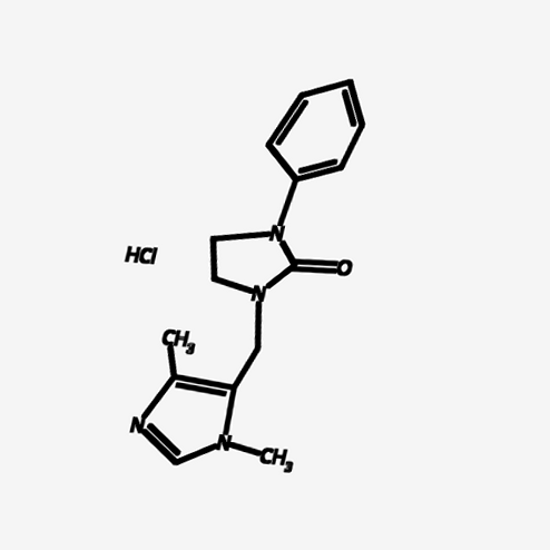 Cc1ncn(C)c1CN1CCN(c2ccccc2)C1=O.Cl